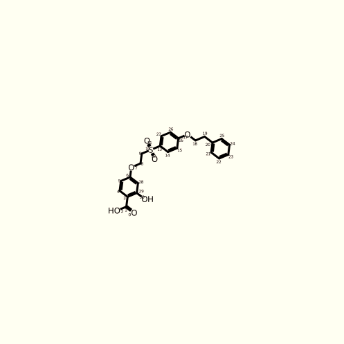 O=C(O)c1ccc(OCCS(=O)(=O)c2ccc(OCCc3ccccc3)cc2)cc1O